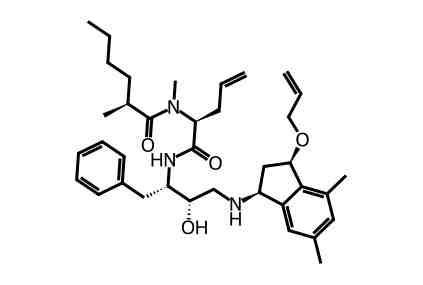 C=CCO[C@@H]1C[C@H](NC[C@H](O)[C@H](Cc2ccccc2)NC(=O)[C@H](CC=C)N(C)C(=O)[C@@H](C)CCCC)c2cc(C)cc(C)c21